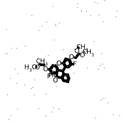 COC(C)COc1cc2c(cc1F)C(c1ccccc1C(=O)O)c1cc(F)c(OCC(OC)OC)cc1O2